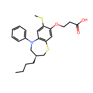 CCCC[C@@H]1CSc2cc(OCCC(=O)O)c(SC)cc2N(c2ccccc2)C1